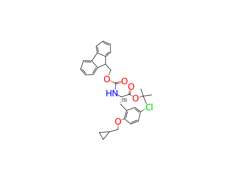 CC(C)(C)OC(=O)[C@H](Cc1cc(Cl)ccc1OCC1CC1)NC(=O)OCC1c2ccccc2-c2ccccc21